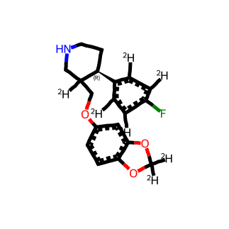 [2H]c1c([2H])c([C@@H]2CCNCC2([2H])COc2ccc3c(c2)OC([2H])([2H])O3)c([2H])c([2H])c1F